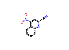 N#Cc1cc([N+](=O)[O-])c2ccccc2n1